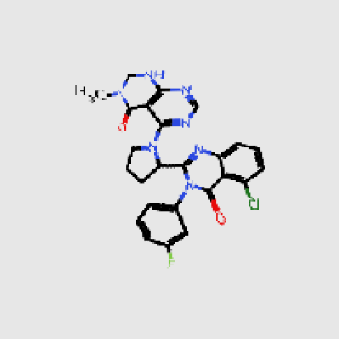 CN1CNc2ncnc(N3CCCC3c3nc4cccc(Cl)c4c(=O)n3-c3cccc(F)c3)c2C1=O